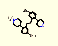 CN1CCC(c2ccc(C(C)(C)C)cc2CCc2cc(C(C)(C)C)ccc2C2CCNCC2)CC1